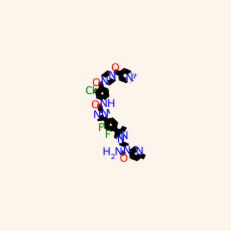 Cc1ccc(N(CCn2cc(-c3ccc(-c4cnc(C(=O)Nc5ccc(C(=O)N6CCN(C(=O)C7CC[N+](C)(C)CC7)CC6)c(Cl)c5)n4C)c(F)c3F)c(C)n2)C(N)=O)cn1